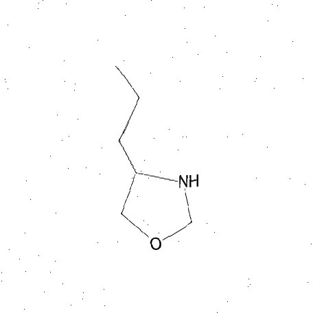 CCCC1COCN1